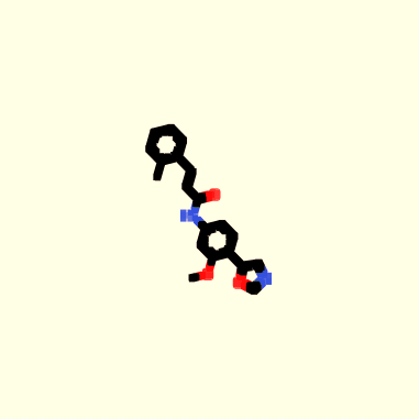 COc1cc(NC(=O)/C=C/c2ccccc2C)ccc1-c1cnco1